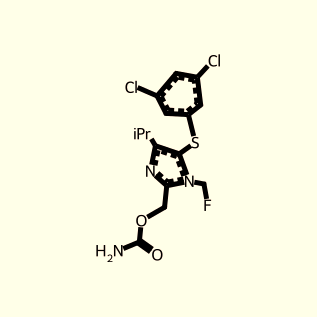 CC(C)c1nc(COC(N)=O)n(CF)c1Sc1cc(Cl)cc(Cl)c1